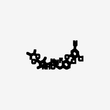 Cc1[nH]c(-c2nnc(Cc3ccc(Cl)c(Oc4cc(Cl)cc(C#N)c4)c3F)o2)c(C)c1C(=O)OC(C)C(C)C